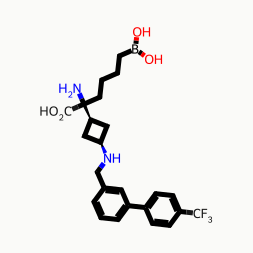 NC(CCCCB(O)O)(C(=O)O)[C@H]1C[C@@H](NCc2cccc(-c3ccc(C(F)(F)F)cc3)c2)C1